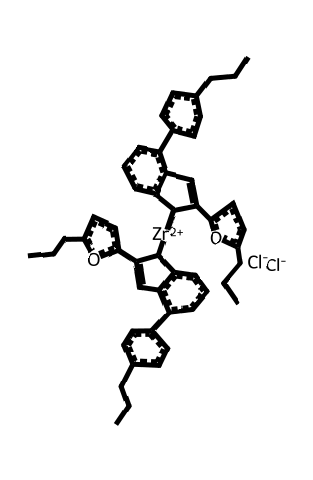 CCCc1ccc(-c2cccc3c2C=C(c2ccc(CCC)o2)[CH]3[Zr+2][CH]2C(c3ccc(CCC)o3)=Cc3c(-c4ccc(CCC)cc4)cccc32)cc1.[Cl-].[Cl-]